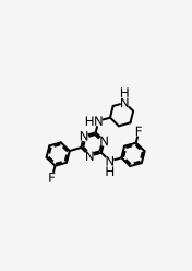 Fc1cccc(Nc2nc(NC3CCCNC3)nc(-c3cccc(F)c3)n2)c1